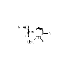 COC(=O)N1C=CC(=O)N(C)C1C(C)(C)C